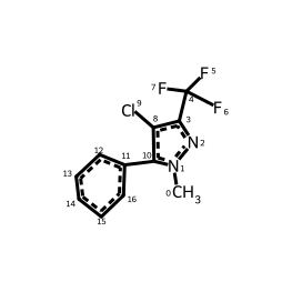 Cn1nc(C(F)(F)F)c(Cl)c1-c1ccccc1